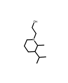 CC(C)C1CCCN(CCO)C1C